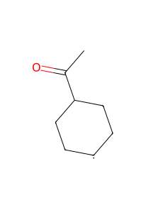 CC(=O)C1CC[CH]CC1